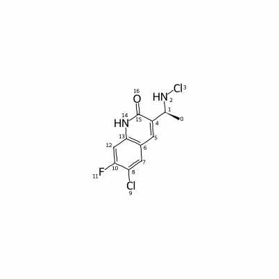 C[C@H](NCl)c1cc2cc(Cl)c(F)cc2[nH]c1=O